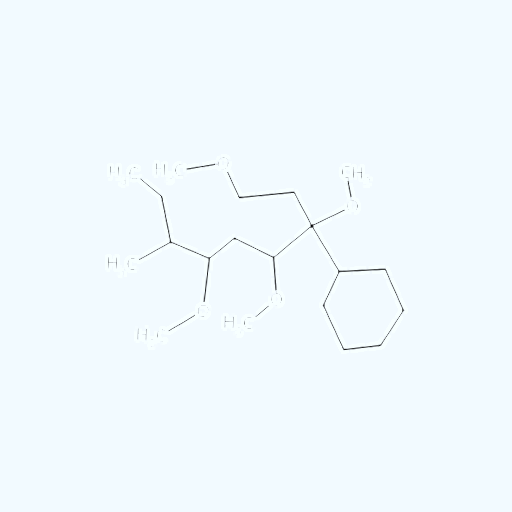 CCC(C)C(CC(OC)C(CCOC)(OC)C1CCCCC1)OC